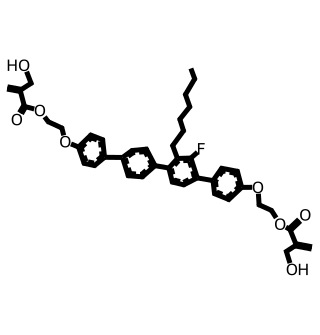 C=C(CO)C(=O)OCCOc1ccc(-c2ccc(-c3ccc(-c4ccc(OCCOC(=O)C(=C)CO)cc4)c(F)c3CCCCCCC)cc2)cc1